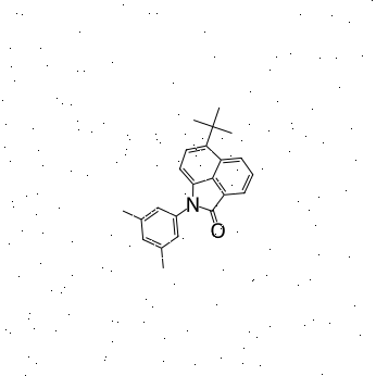 Cc1cc(C)cc(N2C(=O)c3cccc4c(C(C)(C)C)ccc2c34)c1